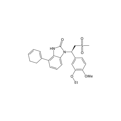 CCOc1cc([C@H](CS(C)(=O)=O)n2c(=O)[nH]c3c(C4=CC=CCC4)cccc32)ccc1OC